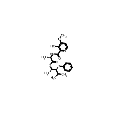 COc1ccnc(C(=O)N[C@H](C)C(=O)O[C@H](C)[C@@H](Oc2ccccc2)C(C)C)c1O